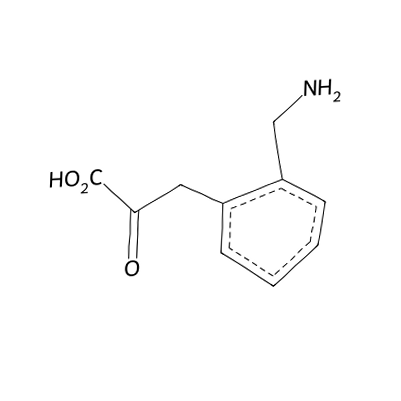 NCc1ccccc1CC(=O)C(=O)O